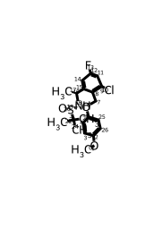 COc1ccc(OCc2c(Cl)cc(F)cc2[C@H](C)N[S@+]([O-])C(C)(C)C)cc1